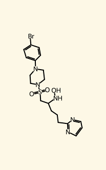 O=S(=O)(CC(CCCc1ncccn1)NO)N1CCN(c2ccc(Br)cc2)CC1